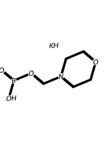 OB(O)OCN1CCOCC1.[KH]